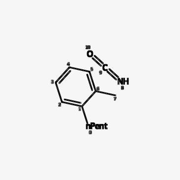 CCCCCc1ccccc1C.N=C=O